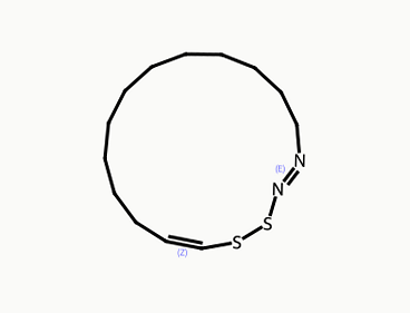 C1=C\SS/N=N/CCCCCCCCCCC/1